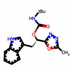 Cc1nnc([C@H](Cc2c[nH]c3ccccc23)OC(=O)NC(C)(C)C)o1